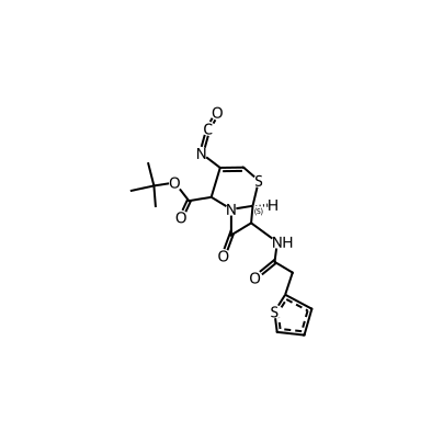 CC(C)(C)OC(=O)C1C(N=C=O)=CS[C@H]2C(NC(=O)Cc3cccs3)C(=O)N12